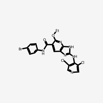 CCOc1nc2[nH]c(Nc3c(Cl)cncc3Cl)nc2cc1C(=O)Nc1ccc(Br)cc1